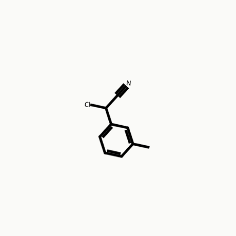 Cc1cccc(C(Cl)C#N)c1